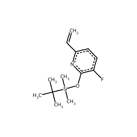 C=Cc1ccc(F)c(O[Si](C)(C)C(C)(C)C)n1